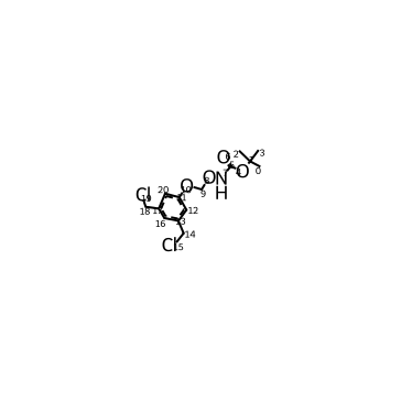 CC(C)(C)OC(=O)NOCOc1cc(CCl)cc(CCl)c1